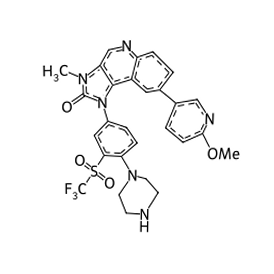 COc1ccc(-c2ccc3ncc4c(c3c2)n(-c2ccc(N3CCNCC3)c(S(=O)(=O)C(F)(F)F)c2)c(=O)n4C)cn1